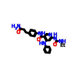 CCNC(=O)Nc1cc(Nc2ccccc2)c(C(=O)Nc2ccc(CCC(N)=O)cc2)cn1